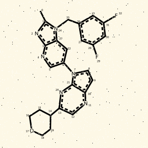 Cc1nc2ncc(-n3ccc4ncc(C5CCOCC5)nc43)cc2n1Cc1cc(F)cc(F)c1